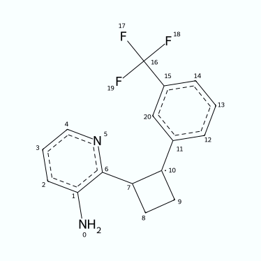 Nc1cccnc1C1CC[C]1c1cccc(C(F)(F)F)c1